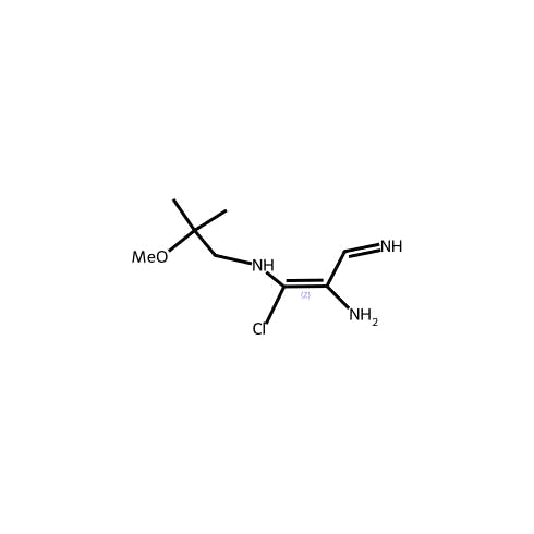 COC(C)(C)CN/C(Cl)=C(/N)C=N